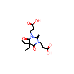 C=C1N(CCC(=O)O)C(=O)C(CC)(CC)C(=O)N1CCC(=O)O